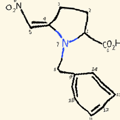 O=C(O)C1CCC(=C[N+](=O)[O-])N1Cc1ccccc1